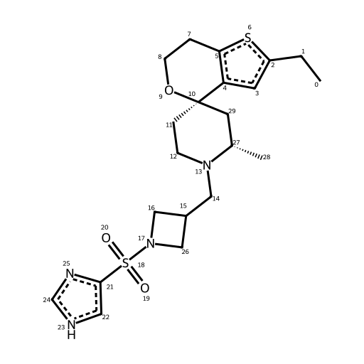 CCc1cc2c(s1)CCO[C@@]21CCN(CC2CN(S(=O)(=O)c3c[nH]cn3)C2)[C@@H](C)C1